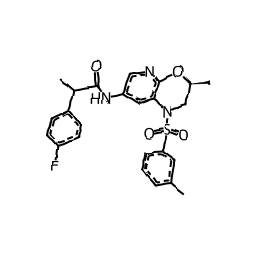 Cc1cccc(S(=O)(=O)N2C[C@H](C)Oc3ncc(NC(=O)C(C)c4ccc(F)cc4)cc32)c1